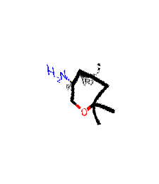 C[C@@H]1CC(C)(C)OC[C@@H]1N